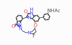 CC(=O)Nc1cccc(-c2cc3c4nc(c(=O)[nH]c4c2)-c2cccc4c(=O)n([nH]c24)CCN2CC(C[C@H]2C)O3)c1